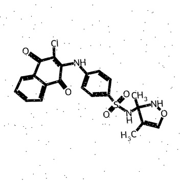 CC1=CONC1(C)NS(=O)(=O)c1ccc(NC2=C(Cl)C(=O)c3ccccc3C2=O)cc1